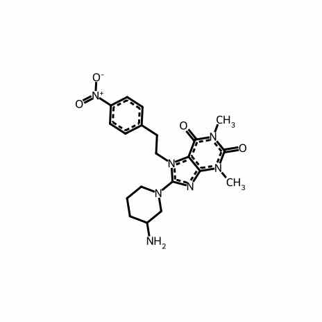 Cn1c(=O)c2c(nc(N3CCCC(N)C3)n2CCc2ccc([N+](=O)[O-])cc2)n(C)c1=O